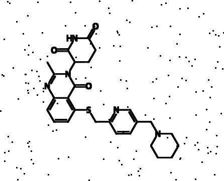 Cc1nc2cccc(SCc3ccc(CN4CCCCC4)cn3)c2c(=O)n1C1CCC(=O)NC1=O